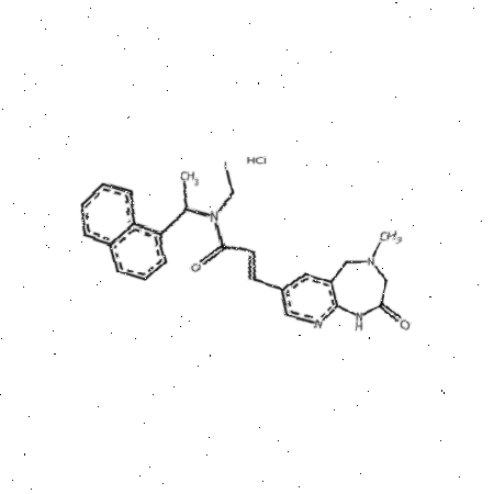 CC(c1cccc2ccccc12)N(CI)C(=O)C=Cc1cnc2c(c1)CN(C)CC(=O)N2.Cl